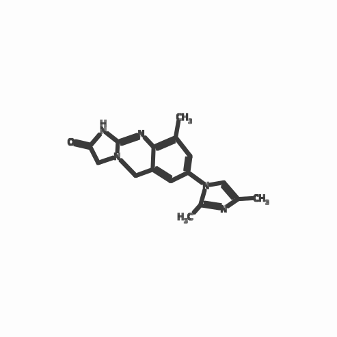 Cc1cn(-c2cc(C)c3c(c2)CN2CC(=O)NC2=N3)c(C)n1